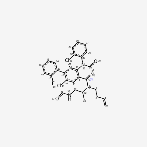 C=CCCN(/C(=N/C)c1cc(Cl)c(-c2ccccc2F)nc1N(C=O)c1ccccc1Cl)C(C)CNC=O